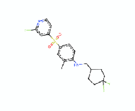 Cc1cc(S(=O)(=O)c2ccnc(F)c2)ccc1NCC1CCC(F)(F)CC1